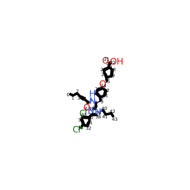 CCCC#CC(=O)N[C@@H](Cc1ccc(OCc2ccc(C(=O)O)cc2)cc1)c1nc(-c2ccc(Cl)cc2Cl)cn1CCCC